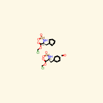 C=O.O=C(OCCl)[C@H](Cc1ccccc1)N[SH](=O)=O.O=C(OCCl)[C@H](Cc1ccccc1)N[SH](=O)=O